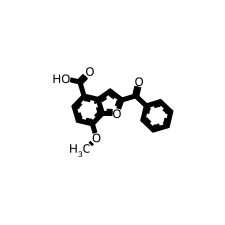 COc1ccc(C(=O)O)c2cc(C(=O)c3ccccc3)oc12